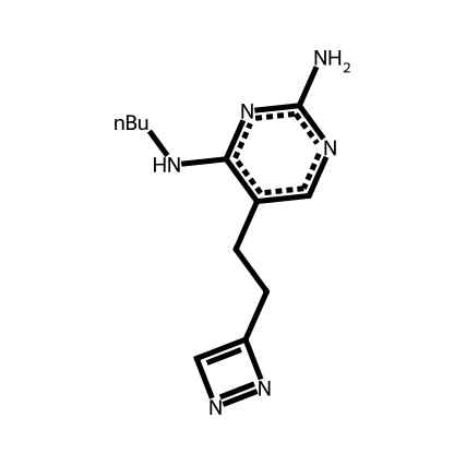 CCCCNc1nc(N)ncc1CCC1=CN=N1